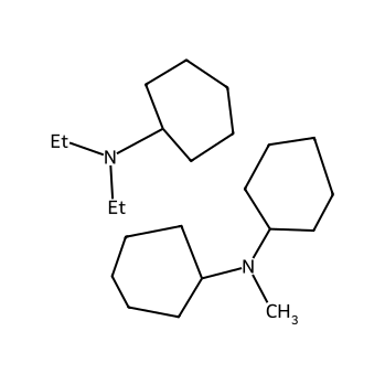 CCN(CC)C1CCCCC1.CN(C1CCCCC1)C1CCCCC1